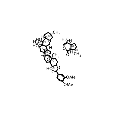 CC1=COC(=O)[C@H]2[C@@H]1CC[C@@H]2C.COc1ccc(C(=O)OC2CC[C@@]3(C)C4CC[C@H]5[C@]6(O)C[C@H](O)[C@@]7(O)[C@@H](CN8C[C@@H](C)CC[C@H]8[C@@]7(C)O)[C@]6(O)C[C@@]53O[C@]24O)cc1OC